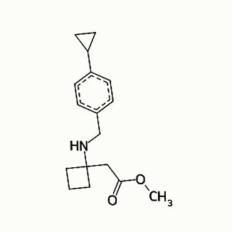 COC(=O)CC1(NCc2ccc(C3CC3)cc2)CCC1